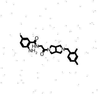 Cc1ccc(CN2CC3CN(C(=O)CNC(=O)c4cc(I)ccc4N)CC3C2)c(C)c1